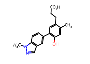 Cc1cc(O)c(-c2ccc3c(cnn3C)c2)cc1CCC(=O)O